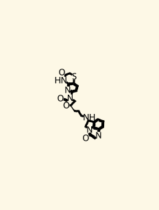 O=C1CSc2ccc(N3C[C@@H](CCCN[C@H]4Cn5c(=O)cnc6cccc4c65)OC3=O)nc2N1